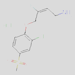 CS(=O)(=O)c1ccc(OC/C(F)=C\CN)c(Cl)c1.Cl